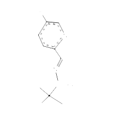 CC(C)(C)[S@@+]([O-])/N=C/c1ccc(F)cn1